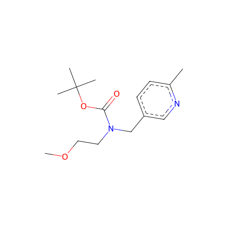 COCCN(Cc1ccc(C)nc1)C(=O)OC(C)(C)C